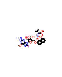 COC(=O)[C@@H](/N=[P+](\[O-])Oc1c(OC[C@H]2O[C@@H](n3c(I)nc4c(OC)nc(N)nc43)[C@](C)(O)[C@@H]2O)ccc2ccccc12)C(C)C